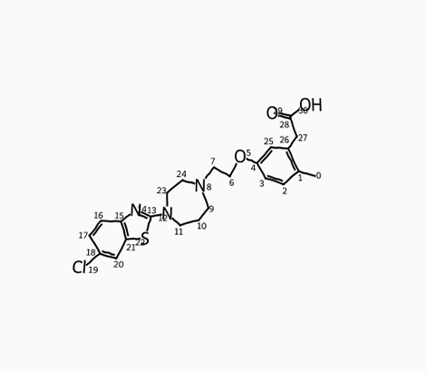 Cc1ccc(OCCN2CCCN(c3nc4ccc(Cl)cc4s3)CC2)cc1CC(=O)O